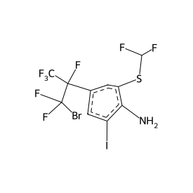 Nc1c(I)cc(C(F)(C(F)(F)F)C(F)(F)Br)cc1SC(F)F